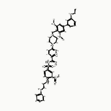 CCOc1cccc(-c2cc(OC)c(CN3CCN(c4ccc(C(=O)NS(=O)(=O)c5ccc(NCCSc6ccccc6)c([N+](=O)[O-])c5)nn4)CC3)c(OC)c2)c1